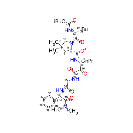 CCC[C@H](NC(=O)[C@@H]1CC(C)(C)CN1C(=O)C(NC(=O)OCC(C)C)[C@@H](C)CC)C(=O)C(=O)NCC(=O)N[C@H](C(=O)N(C)C)c1ccccc1